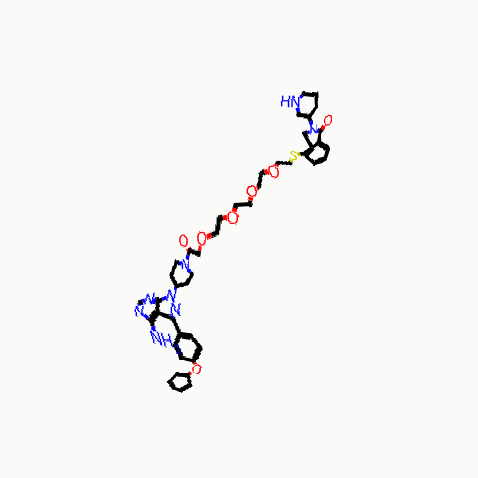 Nc1ncnc2c1c(-c1ccc(Oc3ccccc3)cc1)nn2C1CCN(C(=O)COCCOCCOCCOCCSc2cccc3c2CN(C2CCCNC2)C3=O)CC1